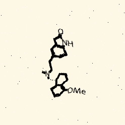 COc1cccc2c1CCC[C@H]2CN(C)CCc1ccc2c(c1)CC(=O)N2